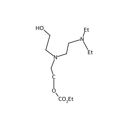 CCOC(=O)OCCN(CCO)CCN(CC)CC